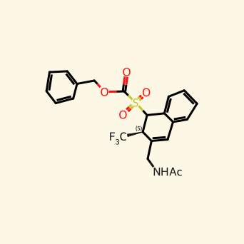 CC(=O)NCC1=Cc2ccccc2C(S(=O)(=O)C(=O)OCc2ccccc2)[C@@H]1C(F)(F)F